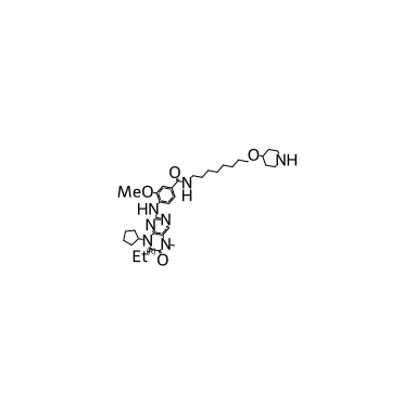 CC[C@@H]1C(=O)N(C)c2cnc(Nc3ccc(C(=O)NCCCCCCCCOC4CCNCC4)cc3OC)nc2N1C1CCCC1